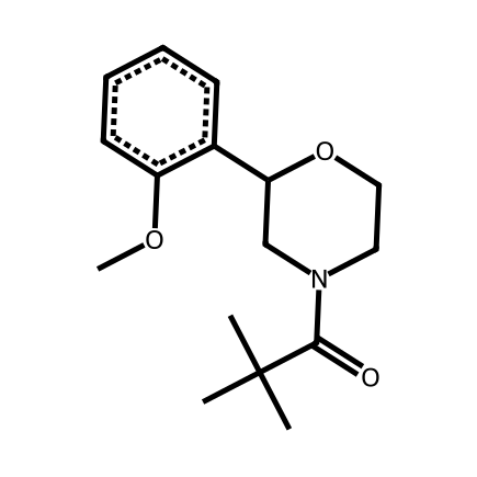 COc1ccccc1C1CN(C(=O)C(C)(C)C)CCO1